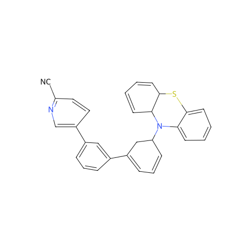 N#Cc1ccc(-c2cccc(C3=CC=CC(N4c5ccccc5SC5C=CC=CC54)C3)c2)cn1